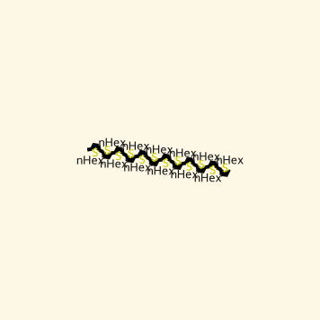 CCCCCCc1ccsc1-c1sc(-c2cc(CCCCCC)c(-c3sc(-c4cc(CCCCCC)c(-c5sc(-c6cc(CCCCCC)c(-c7sc(-c8cc(CCCCCC)c(-c9sc(-c%10cc(CCCCCC)c(-c%11sc(C)cc%11CCCCCC)s%10)cc9CCCCCC)s8)cc7CCCCCC)s6)cc5CCCCCC)s4)cc3CCCCCC)s2)cc1CCCCCC